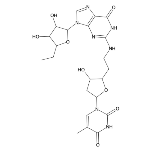 CCC1OC(n2cnc3c(=O)[nH]c(NCCC4OC(n5cc(C)c(=O)[nH]c5=O)CC4O)nc32)C(O)C1O